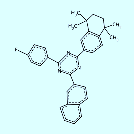 CC1(C)CCC(C)(C)c2cc(-c3nc(-c4ccc(F)cc4)nc(-c4ccc5ccccc5c4)n3)ccc21